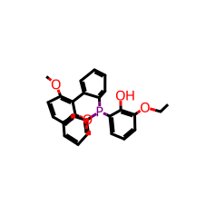 CCOc1cccc(P(c2ccccc2)c2ccccc2-c2c(OC)cccc2OC)c1O